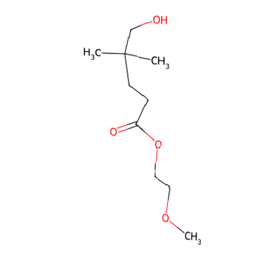 COCCOC(=O)CCC(C)(C)CO